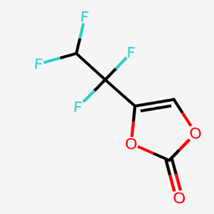 O=c1occ(C(F)(F)C(F)F)o1